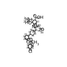 [2H]C([2H])([2H])Oc1cc(C(=O)O)cc2c1nc(CN1CCC(c3cccc4c3OC(C)(c3ccc(Cl)cn3)O4)CC1)n2C[C@@H]1CCO1